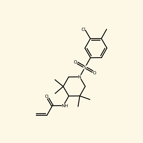 C=CC(=O)NC1C(C)(C)CN(S(=O)(=O)c2ccc(C)c(Cl)c2)CC1(C)C